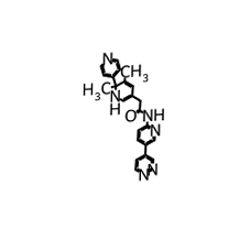 CC1=CC(CC(=O)Nc2ccc(-c3ccnnc3)cn2)=CNC1(C)c1ccncc1